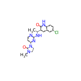 CC(Nc1nccc(N2CCN(C)C2=O)n1)c1cc2cc(Cl)ccc2[nH]c1=O